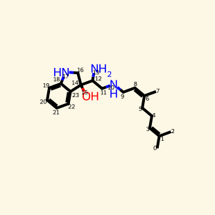 CC(C)=CCCC(C)=CCNCC(N)C1(O)CNc2ccccc21